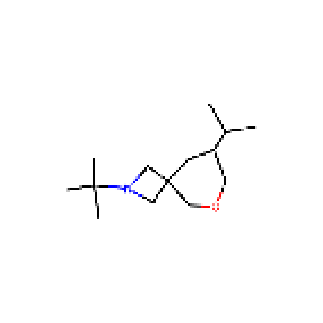 CC(C)C1COCC2(C1)CN(C(C)(C)C)C2